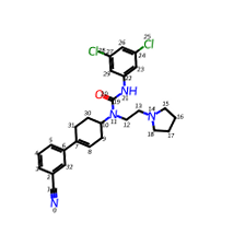 N#Cc1cccc(C2=CCC(N(CCN3CCCC3)C(=O)Nc3cc(Cl)cc(Cl)c3)CC2)c1